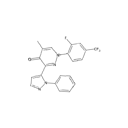 Cc1cn(-c2ccc(C(F)(F)F)cc2F)nc(-c2ccnn2-c2ccccc2)c1=O